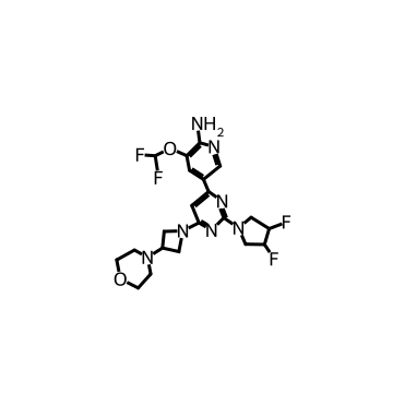 Nc1ncc(-c2cc(N3CC(N4CCOCC4)C3)nc(N3CC(F)C(F)C3)n2)cc1OC(F)F